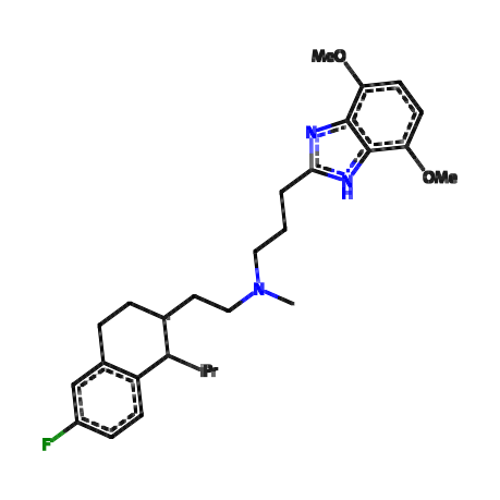 COc1ccc(OC)c2[nH]c(CCCN(C)CC[C]3CCc4cc(F)ccc4C3C(C)C)nc12